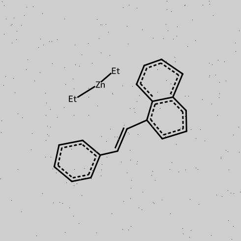 C(=Cc1cccc2ccccc12)c1ccccc1.C[CH2][Zn][CH2]C